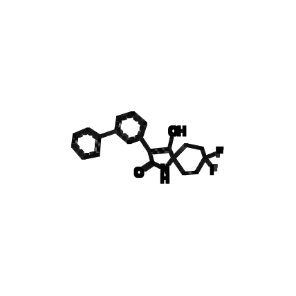 O=C1NC2(CCC(F)(F)CC2)C(O)=C1c1cccc(-c2ccccc2)c1